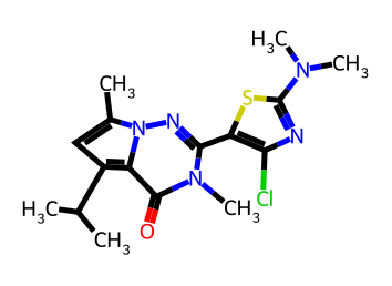 Cc1cc(C(C)C)c2c(=O)n(C)c(-c3sc(N(C)C)nc3Cl)nn12